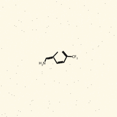 C=C(/C=C\C(C)=C/N)C(F)(F)F